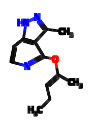 CCC=C(C)Oc1nccc2[nH]nc(C)c12